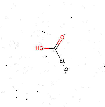 CCC(=O)O.[Zr]